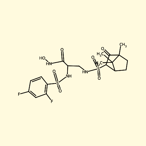 CC12CCC(C(S(=O)(=O)NCC(NS(=O)(=O)c3ccc(F)cc3F)C(=O)NO)C1=O)C2(C)C